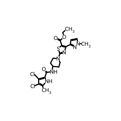 CCOC(=O)c1sc(N2CCC(NC(=O)c3[nH]c(C)c(Cl)c3Cl)CC2)nc1-c1ccn(C)n1